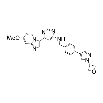 COc1ccn2c(-c3cc(NCc4ccc(-c5cnn(C6COC6)c5)cc4)ncn3)cnc2c1